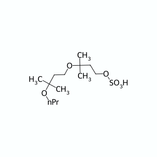 CCCOC(C)(C)CCOC(C)(C)CCOS(=O)(=O)O